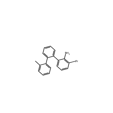 Bc1c(-c2ccccc2-c2ccccc2C)cccc1C(C)C